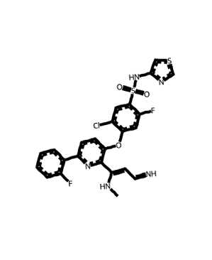 CN/C(=C\C=N)c1nc(-c2ccccc2F)ccc1Oc1cc(F)c(S(=O)(=O)Nc2cscn2)cc1Cl